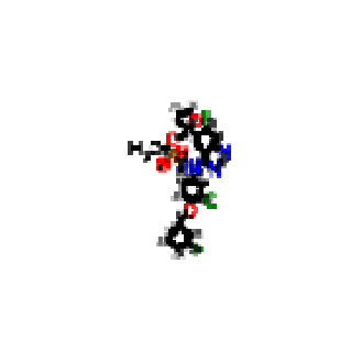 CC(C)S(=O)(=O)C(C)OCC1(c2cc3c(Nc4ccc(OCc5cccc(F)c5)c(Cl)c4)ncnc3cc2F)CC=CO1